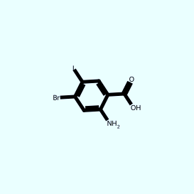 Nc1cc(Br)c(I)cc1C(=O)O